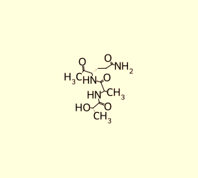 CC(=O)[C@H](CCC(N)=O)NC(=O)[C@@H](C)NC(=O)[C@H](C)O